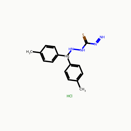 Cc1cc[c]([Hg]([NH]NC(=S)N=N)[c]2ccc(C)cc2)cc1.Cl